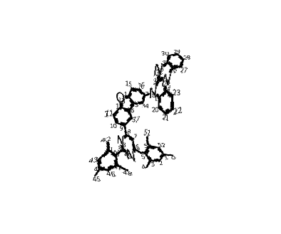 Cc1cc(C)c(-c2cc(-c3ccc4oc5ccc(-n6c7ccccc7n7c8ccccc8nc67)cc5c4c3)nc(-c3c(C)cc(C)cc3C)n2)c(C)c1